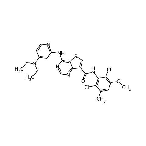 CCN(CC)c1ccnc(Nc2ncnc3c(C(=O)Nc4c(Cl)c(C)cc(OC)c4Cl)csc23)c1